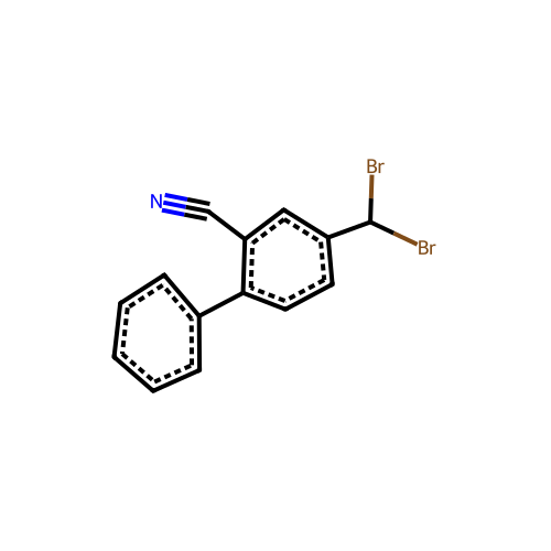 N#Cc1cc(C(Br)Br)ccc1-c1ccccc1